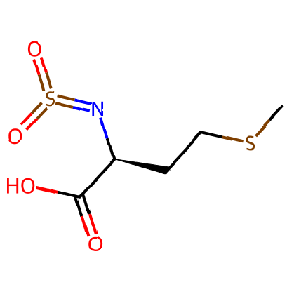 CSCC[C@H](N=S(=O)=O)C(=O)O